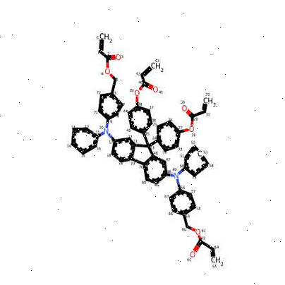 C=CC(=O)OCc1ccc(N(c2ccccc2)c2ccc3c(c2)C(c2ccc(OC(=O)C=C)cc2)(c2ccc(OC(=O)C=C)cc2)c2cc(N(c4ccccc4)c4ccc(COC(=O)C=C)cc4)ccc2-3)cc1